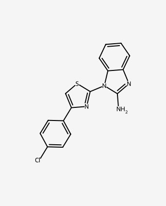 Nc1nc2ccccc2n1-c1nc(-c2ccc(Cl)cc2)cs1